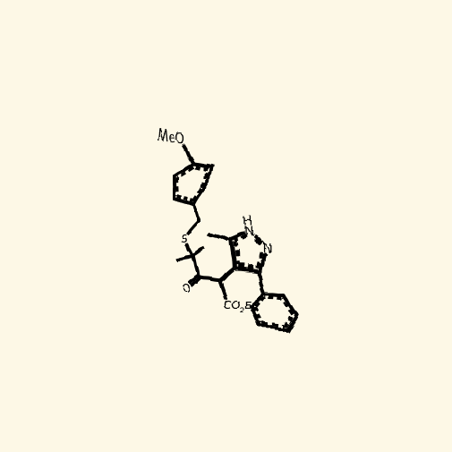 CCOC(=O)C(C(=O)C(C)(C)SCc1ccc(OC)cc1)c1c(-c2ccccc2)n[nH]c1C